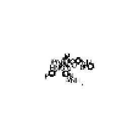 CC(C)N(C(=O)NCc1ccc(F)cc1)N1CC(=O)N2[C@@H](Cc3ccc(NC(=O)c4ccccc4)cc3)C(=O)N(Cc3cccc4sc(N)nc34)C[C@@H]21